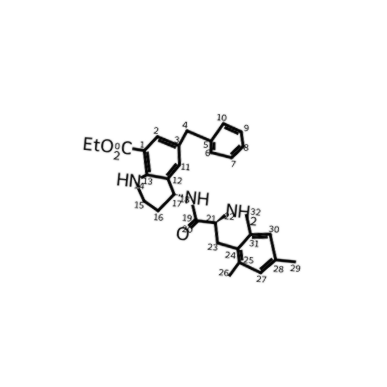 CCOC(=O)c1cc(Cc2ccccc2)cc2c1NCC[C@H]2NC(=O)[C@@H](N)Cc1c(C)cc(C)cc1C